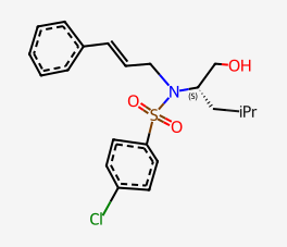 CC(C)C[C@@H](CO)N(CC=Cc1ccccc1)S(=O)(=O)c1ccc(Cl)cc1